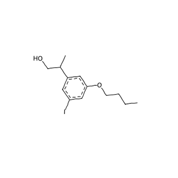 CCCCOc1cc(I)cc([C](C)CO)c1